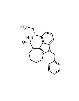 NC(=O)C1CCCCc2c1c1c(OCC(=O)O)cccc1n2Cc1ccncc1